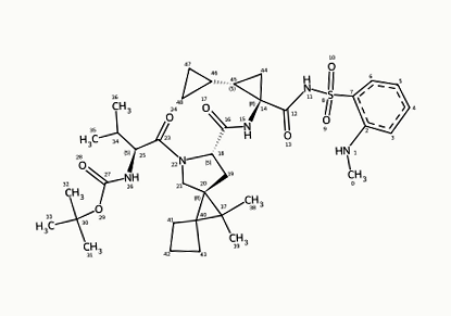 CNc1ccccc1S(=O)(=O)NC(=O)[C@@]1(NC(=O)[C@@H]2C[C@@]3(CN2C(=O)[C@@H](NC(=O)OC(C)(C)C)C(C)C)C(C)(C)C32CCC2)C[C@H]1C1CC1